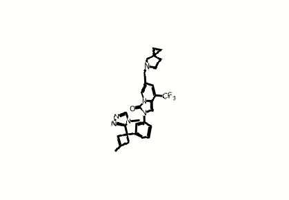 CC1CC(c2cccc(-n3cc4c(C(F)(F)F)cc(CN5CCC6(CC6)C5)cn4c3=O)c2)(c2nncn2C)C1